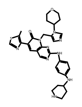 Cc1scnc1-c1cc2cnc(Nc3ccc(NC4CCNCC4)cc3)nc2n(Cc2cncn2C2CCOCC2)c1=O